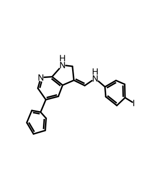 Ic1ccc(NC=C2CNc3ncc(-c4ccccc4)cc32)cc1